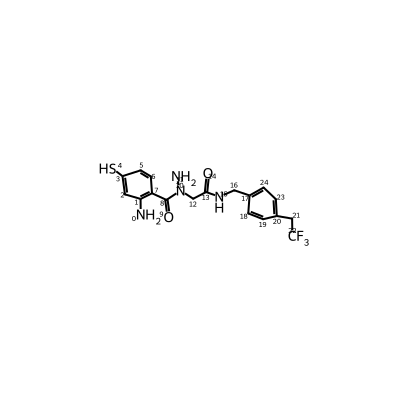 Nc1cc(S)ccc1C(=O)N(N)CC(=O)NCc1ccc(CC(F)(F)F)cc1